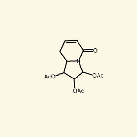 CC(=O)OC1C(OC(C)=O)C(OC(C)=O)N2C(=O)C=CCC12